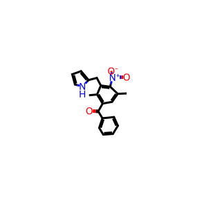 Cc1cc(C(=O)c2ccccc2)c(C)c(Cc2ccc[nH]2)c1[N+](=O)[O-]